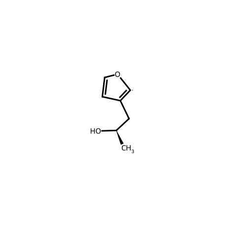 C[C@@H](O)Cc1[c]occ1